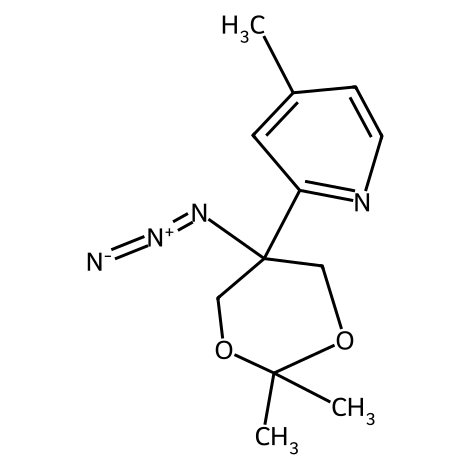 Cc1ccnc(C2(N=[N+]=[N-])COC(C)(C)OC2)c1